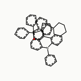 c1ccc(N(c2ccccc2-c2cccc3cccc(C4CCCCC4)c23)c2cccc3c2-c2ccccc2C3(c2ccccc2)c2ccccc2)cc1